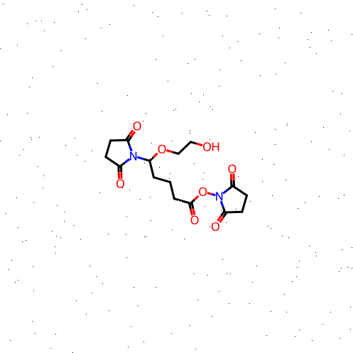 O=C(CCCC(OCCO)N1C(=O)CCC1=O)ON1C(=O)CCC1=O